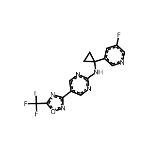 Fc1cncc(C2(Nc3ncc(-c4noc(C(F)(F)F)n4)cn3)CC2)c1